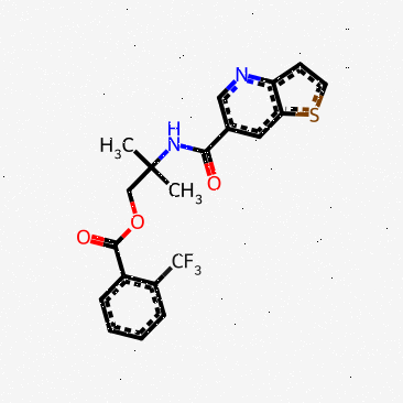 CC(C)(COC(=O)c1ccccc1C(F)(F)F)NC(=O)c1cnc2ccsc2c1